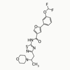 CC(Cc1nsc(NC(=O)c2coc(-c3cccc(OC(F)F)c3)c2)n1)N1CCOCC1